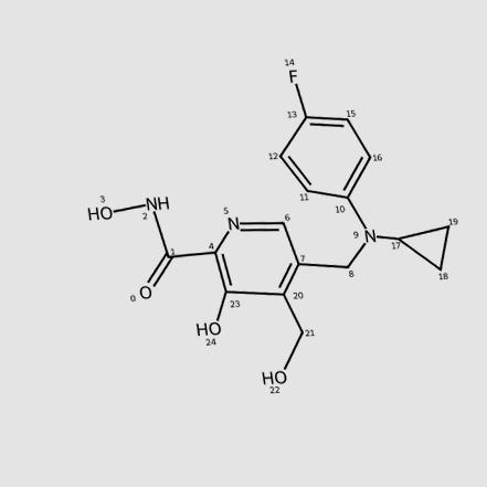 O=C(NO)c1ncc(CN(c2ccc(F)cc2)C2CC2)c(CO)c1O